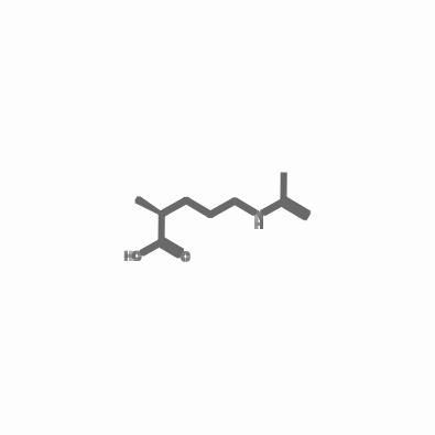 C=C(C)NCCC[C@H](C)C(=O)O